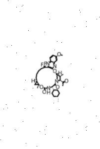 COc1ccc2nc3c(nc2c1)O[C@H]1CN(C(=O)[C@H](C2CCCCC2)NC(=O)O[C@]2(C)C[C@H]2CCCCC3(F)F)[C@H](C(C)=O)[C@@H]1C